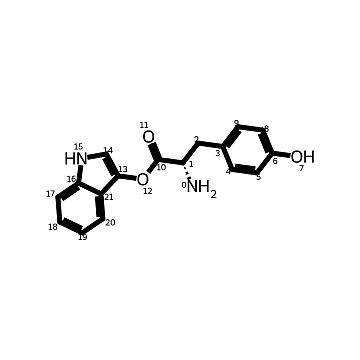 N[C@@H](Cc1ccc(O)cc1)C(=O)Oc1c[nH]c2ccccc12